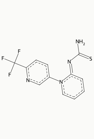 NC(=S)/N=c1\ccccn1-c1ccc(C(F)(F)F)nc1